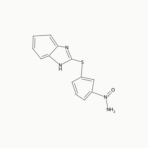 N[N+](=O)c1c[c]cc(Sc2nc3ccccc3[nH]2)c1